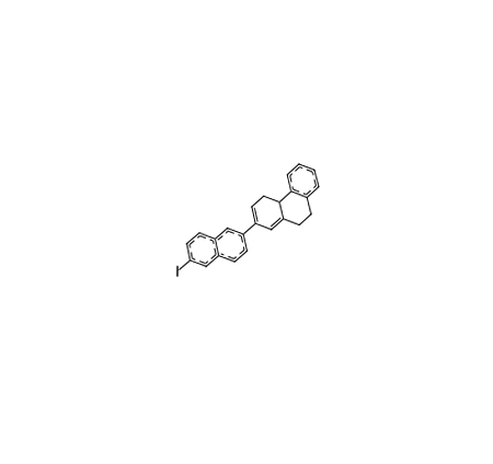 Ic1ccc2cc(C3=CCC4C(=C3)CCc3ccccc34)ccc2c1